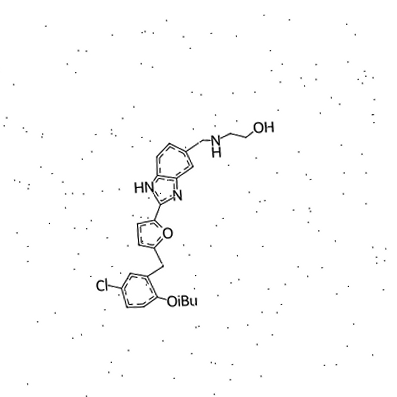 CC(C)COc1ccc(Cl)cc1Cc1ccc(-c2nc3cc(CNCCO)ccc3[nH]2)o1